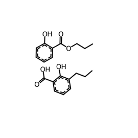 CCCOC(=O)c1ccccc1O.CCCc1cccc(C(=O)O)c1O